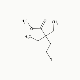 CCC(CC)(CCI)C(=O)OC